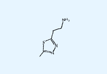 Cc1nnc(CCN)s1